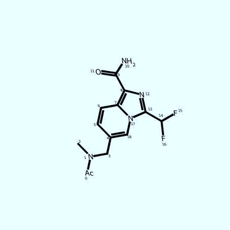 CC(=O)N(C)Cc1ccc2c(C(N)=O)nc(C(F)F)n2c1